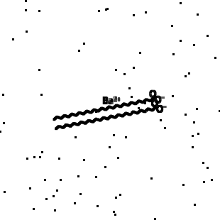 CCCCCCCCCCCCCCCCCCCCCCCCCCCC(=O)[O-].CCCCCCCCCCCCCCCCCCCCCCCCCCCC(=O)[O-].[Ba+2]